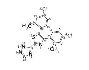 Cc1cc(Cl)ccc1-c1nc(-c2nnn[nH]2)sc1-c1ccc(Cl)cc1C